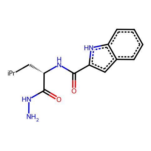 CC(C)C[C@H](NC(=O)c1cc2ccccc2[nH]1)C(=O)NN